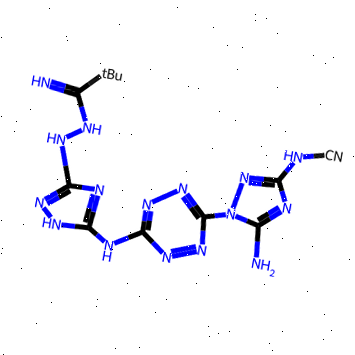 CC(C)(C)C(=N)NNc1n[nH]c(Nc2nnc(-n3nc(NC#N)nc3N)nn2)n1